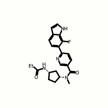 CCC(=O)N[C@H]1CC[C@@H](N(C)C(=O)c2ccc(-c3ccc4cc[nH]c4c3F)nc2)C1